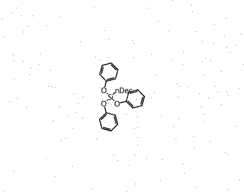 CCCCCCCCCC[Si](Oc1ccccc1)(Oc1ccccc1)Oc1ccccc1